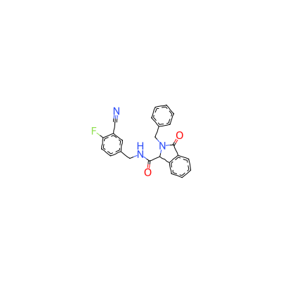 N#Cc1cc(CNC(=O)C2c3ccccc3C(=O)N2Cc2ccccc2)ccc1F